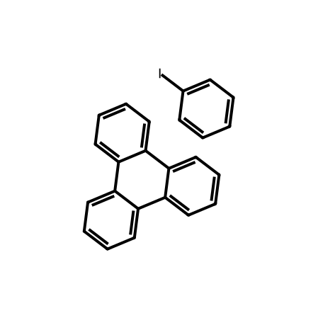 Ic1ccccc1.c1ccc2c(c1)c1ccccc1c1ccccc21